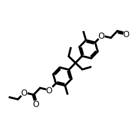 CCOC(=O)COc1ccc(C(CC)(CC)c2ccc(OCC=O)c(C)c2)cc1C